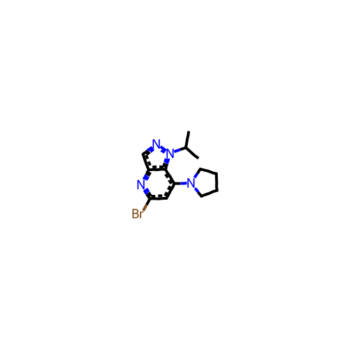 CC(C)n1ncc2nc(Br)cc(N3CCCC3)c21